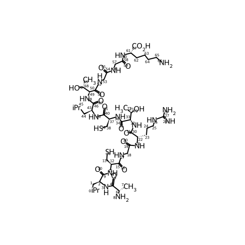 CC(C)C[C@H](NC(=O)[C@H](C)N)C(=O)N[C@@H](CS)C(=O)NCC(=O)N[C@@H](CCCNC(=N)N)C(=O)N[C@H](C(=O)N[C@@H](CS)C(=O)N[C@@H](CC(C)C)C(=O)N[C@H](C(=O)NCC(=O)NCC(=O)N[C@@H](CCCCN)C(=O)O)[C@@H](C)O)[C@@H](C)O